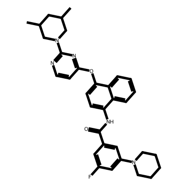 CC1CC(C)CN(c2nccc(Oc3ccc(NC(=O)c4cc(F)cc(N5CCCCC5)c4)c4ccccc34)n2)C1